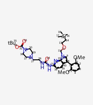 COc1cccc(OC)c1-c1cn(COCC[Si](C)(C)C)c2nc(NC(=O)NCCN3CCN(C(=O)OC(C)(C)C)CC3)ccc12